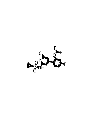 O=S(=O)(Nc1cc(-c2ccc(F)cc2OC(F)F)cc(Cl)n1)C1CC1